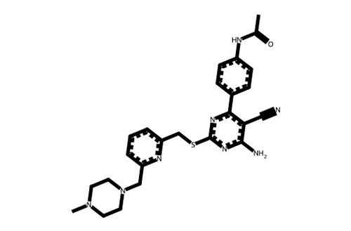 CC(=O)Nc1ccc(-c2nc(SCc3cccc(CN4CCN(C)CC4)n3)nc(N)c2C#N)cc1